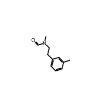 Cc1cccc(CCN(C)C=O)c1